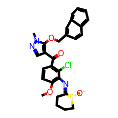 COc1ccc(C(=O)c2cnn(C)c2OCc2ccc3ccccc3c2)c(Cl)c1N=C1CCCC[S+]1[O-]